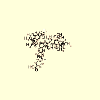 COc1c(N)cc(C(C)(C)C)cc1NS(C)(=O)=O.COc1c(NC(=O)c2cc3cccc(Oc4ccnc(NC5CCN(C(=O)O)CC5)n4)c3n2C)cc(C(C)(C)C)cc1NS(C)(=O)=O